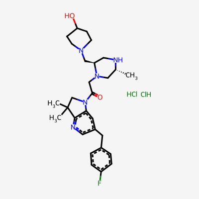 C[C@@H]1CN(CC(=O)N2CC(C)(C)c3ncc(Cc4ccc(F)cc4)cc32)[C@@H](CN2CCC(O)CC2)CN1.Cl.Cl